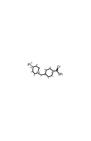 CC(C)C(=O)N1CCC(CN2CCN(C(C)C)CC2)CC1